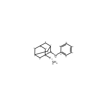 FC12CC3CC(CC(C3)C1[Se]c1ccccc1)C2.[SiH4]